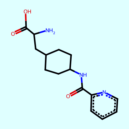 NC(CC1CCC(NC(=O)c2ccccn2)CC1)C(=O)O